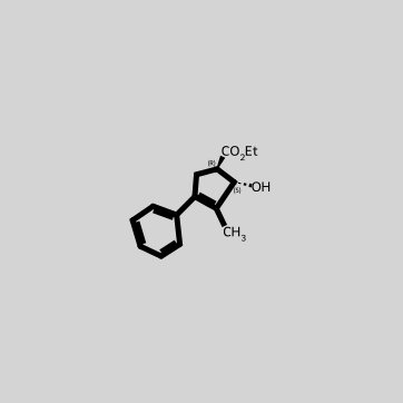 CCOC(=O)[C@@H]1CC(c2ccccc2)=C(C)[C@H]1O